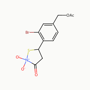 CC(=O)OCc1ccc(C2CC(=O)[N+]([O-])([O-])S2)c(Br)c1